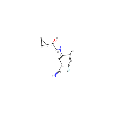 Cc1cc(F)c(C#N)cc1NCC(=O)C1CC1